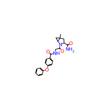 CC12CC(C(N)=O)N(C(=O)CNC(=O)c3ccc(Oc4ccccc4)cc3)C1C2